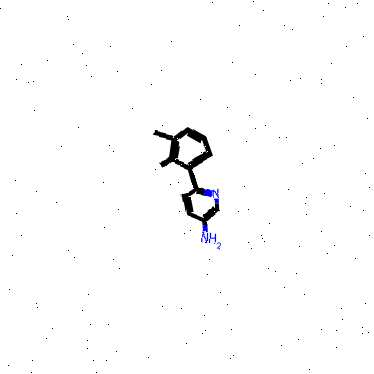 Cc1cccc(-c2ccc(N)cn2)c1C